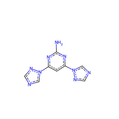 Nc1nc(-n2cncn2)cc(-n2cncn2)n1